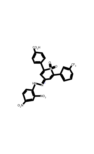 O=C(O)c1ccc(C2=C/C(=N\Nc3ccc([N+](=O)[O-])cc3[N+](=O)[O-])C=C(c3cccc(C(F)(F)F)c3)S2(=O)=O)cc1